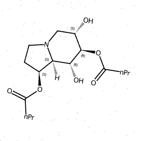 CCCC(=O)O[C@H]1[C@H](O)[C@H]2[C@@H](OC(=O)CCC)CCN2C[C@@H]1O